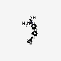 N=C/C=C(\N)c1ccc(Oc2ccc(OCc3cnco3)cc2)cc1